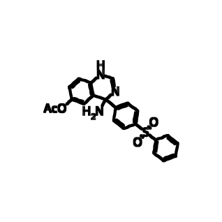 CC(=O)Oc1ccc2c(c1)C(N)(c1ccc(S(=O)(=O)c3ccccc3)cc1)N=CN2